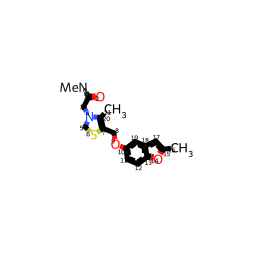 CNC(=O)CN1CSC(COc2ccc3oc(C)cc3c2)=C1C